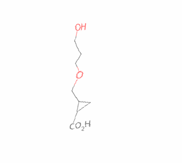 O=C(O)C1CC1COCCCO